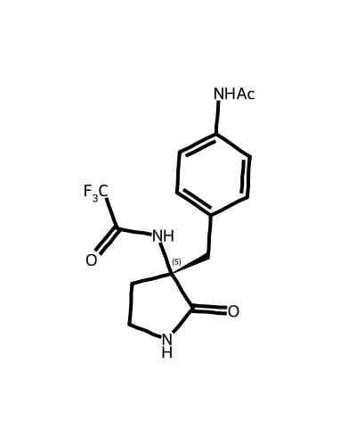 CC(=O)Nc1ccc(C[C@]2(NC(=O)C(F)(F)F)CCNC2=O)cc1